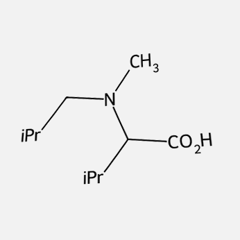 CC(C)CN(C)C(C(=O)O)C(C)C